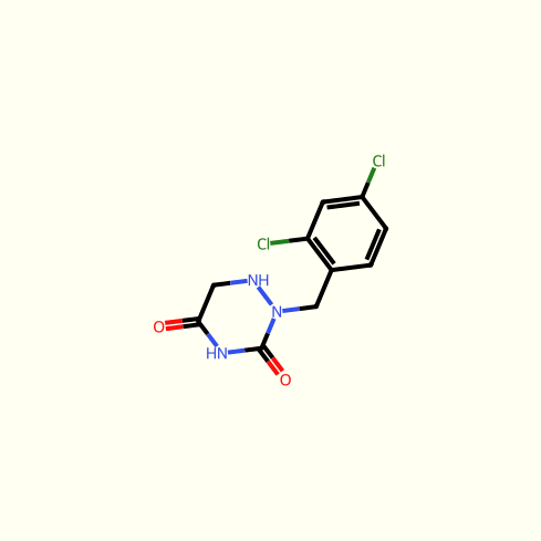 O=C1CNN(Cc2ccc(Cl)cc2Cl)C(=O)N1